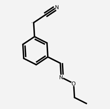 CCON=Cc1cccc([CH]C#N)c1